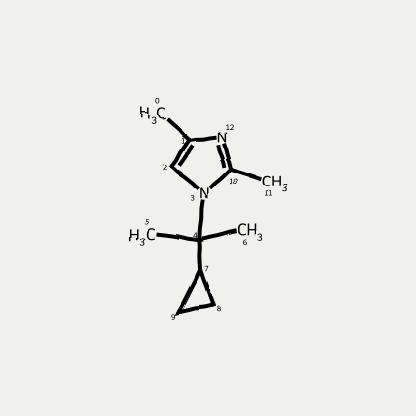 Cc1cn(C(C)(C)C2CC2)c(C)n1